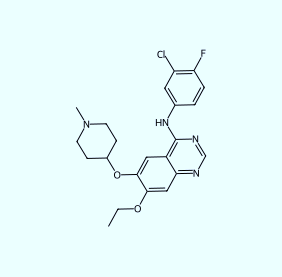 CCOc1cc2ncnc(Nc3ccc(F)c(Cl)c3)c2cc1OC1CCN(C)CC1